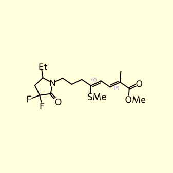 CCC1CC(F)(F)C(=O)N1CCC/C(=C/C=C(\C)C(=O)OC)SC